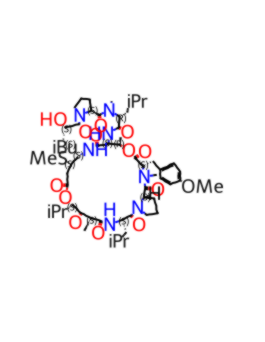 CC[C@H](C)[C@@H]1NC(=O)[C@@H](NC(=O)[C@@H](CC(C)C)N(C)C(=O)[C@@H]2CCCN2C(=O)[C@H](C)O)[C@@H](C)OC(=O)[C@H](Cc2ccc(OC)cc2)N(C)C(=O)[C@@H]2CCCN2C(=O)[C@H](CC(C)C)NC(=O)[C@@H](C)C(=O)[C@H](C(C)C)OC(=O)C[C@@H]1SC